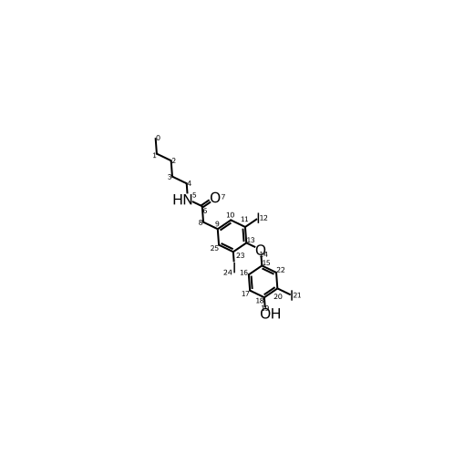 CCCCCNC(=O)Cc1cc(I)c(Oc2ccc(O)c(I)c2)c(I)c1